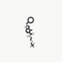 Cc1c(C(=O)NCCOCC(F)(F)F)ccc2nn(CC3CCCCCCC3)cc12